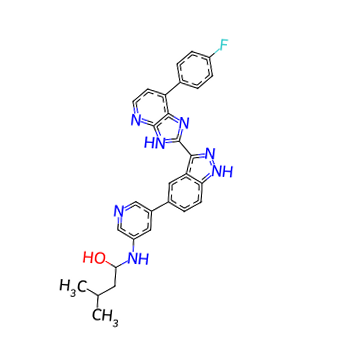 CC(C)CC(O)Nc1cncc(-c2ccc3[nH]nc(-c4nc5c(-c6ccc(F)cc6)ccnc5[nH]4)c3c2)c1